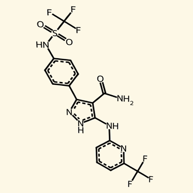 NC(=O)c1c(-c2ccc(NS(=O)(=O)C(F)(F)F)cc2)n[nH]c1Nc1cccc(C(F)(F)F)n1